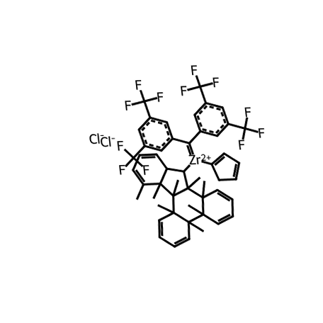 CC1=CC=CC2[CH]([Zr+2]([C]3=CC=CC3)=[C](c3cc(C(F)(F)F)cc(C(F)(F)F)c3)c3cc(C(F)(F)F)cc(C(F)(F)F)c3)C3(C)C4(C)C=CC=CC4(C)C4(C)C=CC=CC4(C)C3(C)C12C.[Cl-].[Cl-]